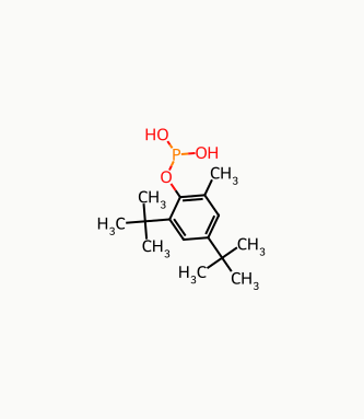 Cc1cc(C(C)(C)C)cc(C(C)(C)C)c1OP(O)O